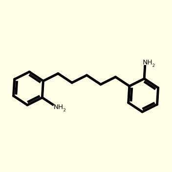 Nc1ccccc1CCCCCc1ccccc1N